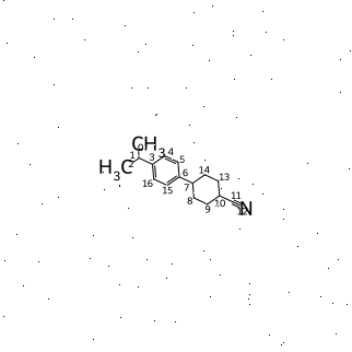 CC(C)c1ccc(C2CCC(C#N)CC2)cc1